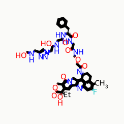 CC[C@@]1(O)C(=O)OCc2c1cc1n(c2=O)Cc2c-1nc1cc(F)c(C)c3c1c2/C(=N/C(=O)COCNC(=O)CNC(=O)[C@H](Cc1ccccc1)NC(=O)CNC(O)Cn1cc(CNCO)nn1)CC3